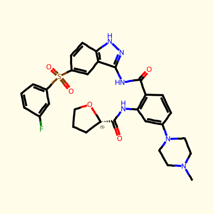 CN1CCN(c2ccc(C(=O)Nc3n[nH]c4ccc(S(=O)(=O)c5cccc(F)c5)cc34)c(NC(=O)[C@@H]3CCCO3)c2)CC1